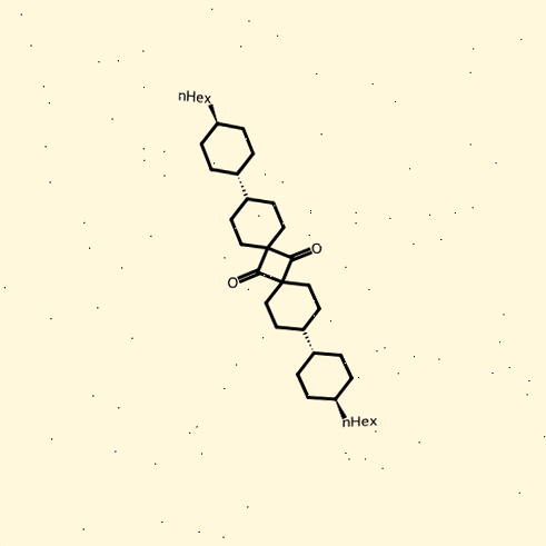 CCCCCC[C@H]1CC[C@H](C2CCC3(CC2)C(=O)C2(CCC([C@H]4CC[C@H](CCCCCC)CC4)CC2)C3=O)CC1